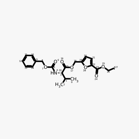 CC(C)[C@H](NC(=O)OCc1ccccc1)C(=O)OCc1ccc(C(=O)OCI)o1